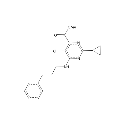 COC(=O)c1nc(C2CC2)nc(NCCCc2ccccc2)c1Cl